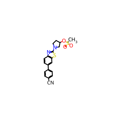 CS(=O)(=O)OC1CCN(c2nc3ccc(-c4ccc(C#N)cc4)cc3s2)C1